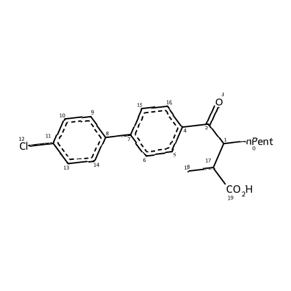 CCCCCC(C(=O)c1ccc(-c2ccc(Cl)cc2)cc1)C(C)C(=O)O